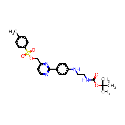 Cc1ccc(S(=O)(=O)OCc2ccnc(-c3ccc(NCCNC(=O)OC(C)(C)C)cc3)n2)cc1